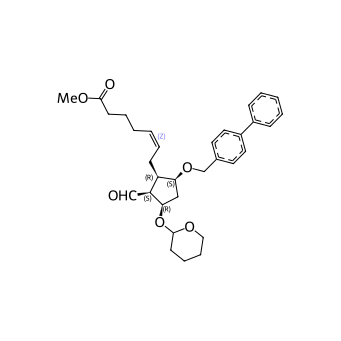 COC(=O)CCC/C=C\C[C@@H]1[C@H](C=O)[C@H](OC2CCCCO2)C[C@@H]1OCc1ccc(-c2ccccc2)cc1